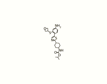 CC(C)OC(=O)NC1CCC(c2ncc(-c3ccc(N)cc3SC3COC3)s2)CC1